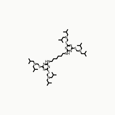 CC(C)CN(CSc1nc(NCCCCCCNc2nc(SCN(CC(C)C)CC(C)C)nc(SCN(CC(C)C)CC(C)C)n2)nc(SCN(CC(C)C)CC(C)C)n1)CC(C)C